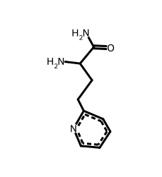 NC(=O)C(N)CCc1ccccn1